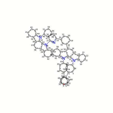 c1ccc(-c2ccc(-n3c4ccccc4c4cc(-c5cccc(-c6cccc(-n7c8ccccc8c8ccc9c%10ccccc%10n(-c%10ccccc%10)c9c87)n6)c5)c5c6ccccc6n(-c6ccc(-c7ccccc7)cc6)c5c43)cc2)cc1